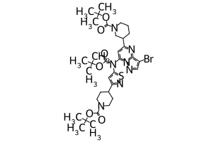 CC(C)(C)OC(=O)N1CCC(c2cc(N(C(=O)OC(C)(C)C)c3cc(C4CCCN(C(=O)OC(C)(C)C)C4)nc4c(Br)cnn34)sn2)CC1